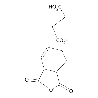 O=C(O)CCC(=O)O.O=C1OC(=O)C2CCC=CC12